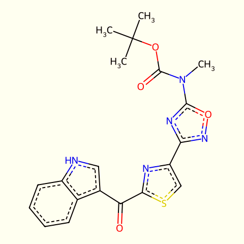 CN(C(=O)OC(C)(C)C)c1nc(-c2csc(C(=O)c3c[nH]c4ccccc34)n2)no1